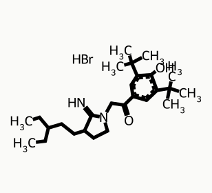 Br.CCC(CC)CCC1CCN(CC(=O)c2cc(C(C)(C)C)c(O)c(C(C)(C)C)c2)C1=N